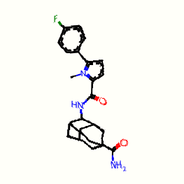 Cn1c(C(=O)NC2C3CC4CC2CC(C(N)=O)(C4)C3)ccc1-c1ccc(F)cc1